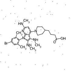 CNc1cc(N2CCC(CCCC(=O)O)CC2)c2c(NC)c(NC)n(-c3c(C)cc(Br)cc3C)c2n1